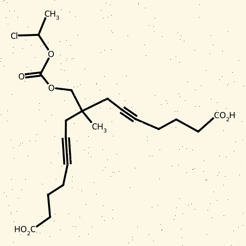 CC(Cl)OC(=O)OCC(C)(CC#CCCCC(=O)O)CC#CCCCC(=O)O